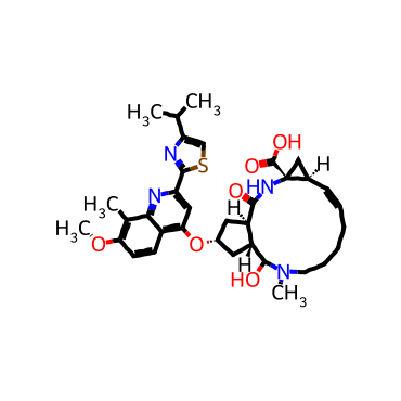 COc1ccc2c(O[C@@H]3C[C@H]4C(=O)N[C@]5(C(=O)O)C[C@H]5/C=C\CCCCN(C)C(O)[C@@H]4C3)cc(-c3nc(C(C)C)cs3)nc2c1C